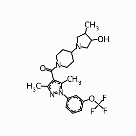 Cc1nn(-c2cccc(OC(F)(F)F)c2)c(C)c1C(=O)N1CCC(N2CC(C)C(O)C2)CC1